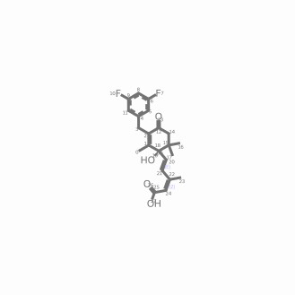 CC1=C(Cc2cc(F)cc(F)c2)C(=O)CC(C)(C)[C@]1(O)/C=C/C(C)=C\C(=O)O